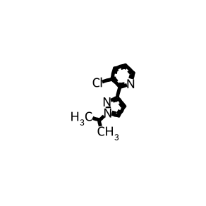 CC(C)n1ccc(-c2ncccc2Cl)n1